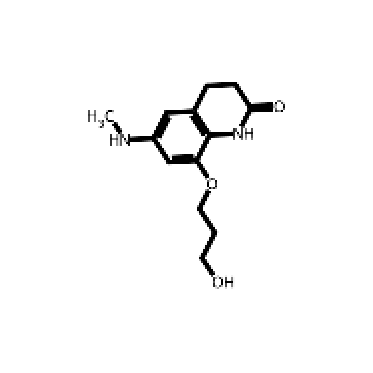 CNc1cc2c(c(OCCCO)c1)NC(=O)CC2